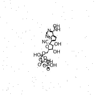 N#C[C@@]1(c2ccc3c(NO)ncnn23)O[C@H](COP(=O)(O)OP(=O)(O)OP(=O)(O)O)[C@@H](O)[C@H]1O